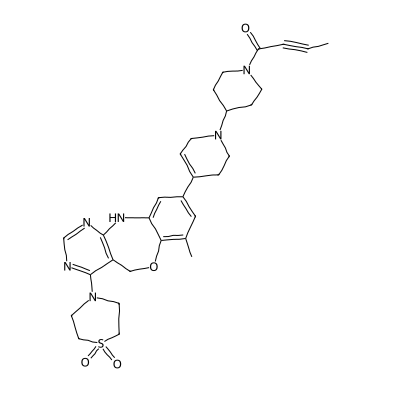 CC#CC(=O)N1CCC(N2CC=C(c3cc(C)c4c(c3)Nc3ncnc(N5CCS(=O)(=O)CC5)c3CO4)CC2)CC1